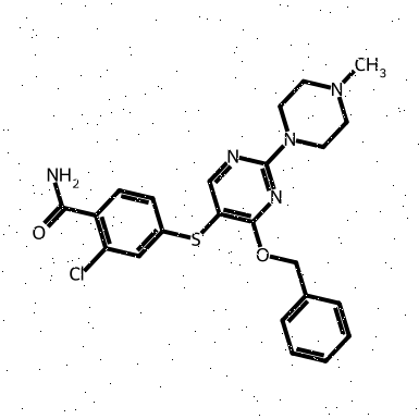 CN1CCN(c2ncc(Sc3ccc(C(N)=O)c(Cl)c3)c(OCc3ccccc3)n2)CC1